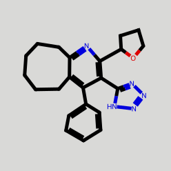 c1ccc(-c2c3c(nc(C4CCCO4)c2-c2nnn[nH]2)CCCCCC3)cc1